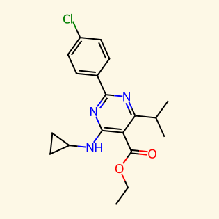 CCOC(=O)c1c(NC2CC2)nc(-c2ccc(Cl)cc2)nc1C(C)C